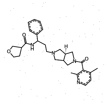 Cc1ccnc(C)c1C(=O)N1CC2CN(CCC(NC(=O)C3CCOC3)c3ccccc3)C[C@H]2C1